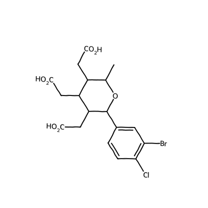 CC1OC(c2ccc(Cl)c(Br)c2)C(CC(=O)O)C(CC(=O)O)C1CC(=O)O